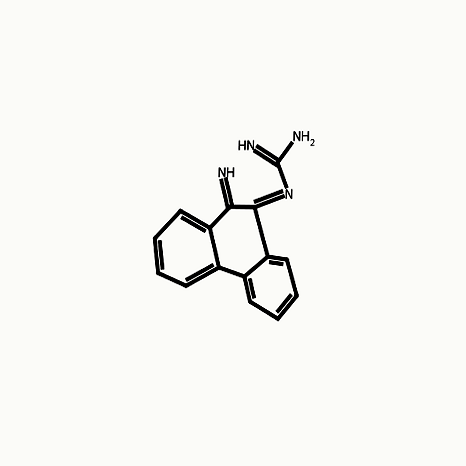 N=C(N)/N=C1\C(=N)c2ccccc2-c2ccccc21